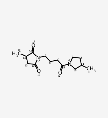 CC1CCN(C(=O)CCCN2C(=O)CC(C)C2=O)C1